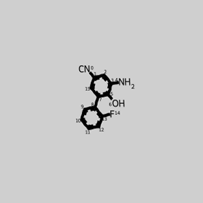 [C-]#[N+]c1cc(N)c(O)c(-c2ccccc2F)c1